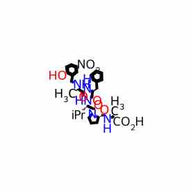 CC(C)C[C@H](NC(=O)[C@H](Cc1ccccc1)NC(=O)[C@H](C)NCc1cc([N+](=O)[O-])ccc1O)C(=O)N1CCC[C@H]1C(=O)N[C@@H](C)C(=O)O